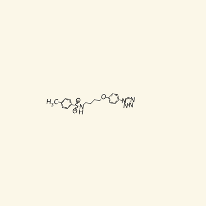 Cc1ccc(S(=O)(=O)NCCCCOc2ccc(-n3cnnn3)cc2)cc1